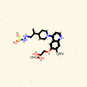 COc1cc2nccc(N3CCC(C(C)CNN[SH](=O)=O)CC3)c2cc1OCCO.O=CO